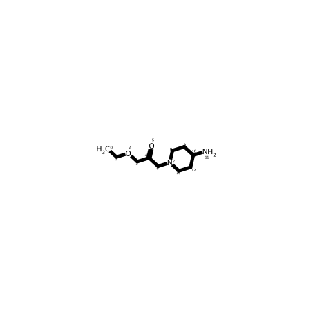 CCOCC(=O)CN1CCC(N)CC1